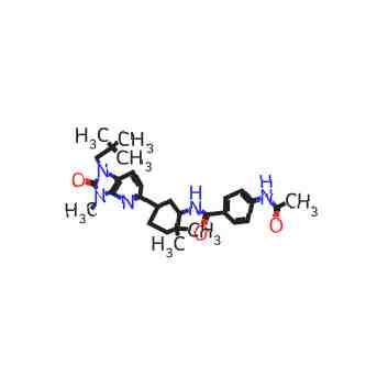 CC(=O)Nc1ccc(C(=O)NC2CC(c3ccc4c(n3)n(C)c(=O)n4CC(C)(C)C)CCC2(C)C)cc1